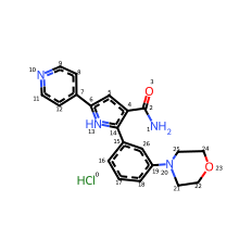 Cl.NC(=O)c1cc(-c2ccncc2)[nH]c1-c1cccc(N2CCOCC2)c1